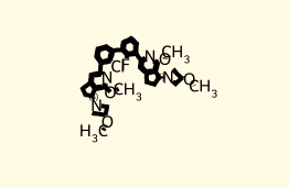 COc1nc(-c2cccc(-c3cccc(-c4cc5c(c(OC)n4)[C@@H](N4CC(OC)C4)CC5)c3Cl)c2F)cc2c1[C@@H](N1CC(OC)C1)CC2